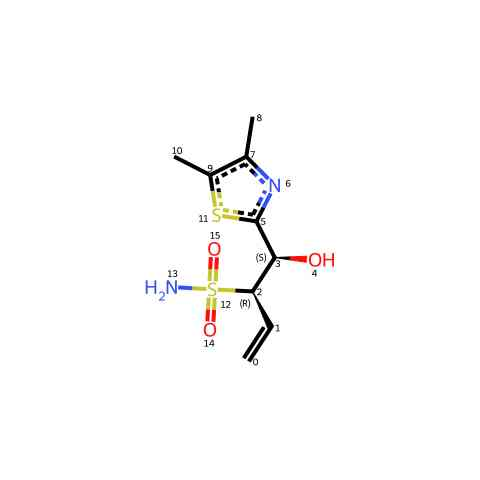 C=C[C@H]([C@H](O)c1nc(C)c(C)s1)S(N)(=O)=O